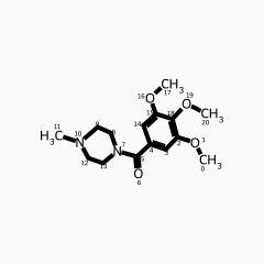 COc1cc(C(=O)N2CCN(C)CC2)cc(OC)c1OC